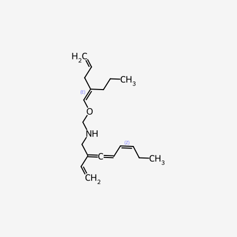 C=CC/C(=C/OCNCC(=C=C/C=C\CC)C=C)CCC